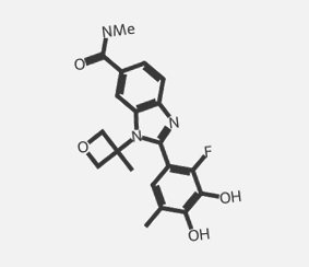 CNC(=O)c1ccc2nc(-c3cc(C)c(O)c(O)c3F)n(C3(C)COC3)c2c1